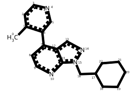 Cc1ccncc1-c1ccnc2c1cnn2CC1CCCCC1